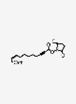 CCCCCCCC/C=C\CCCCCC#CC(=O)ON1C(=O)CCC1=O